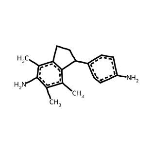 Cc1c(C)c2c(c(C)c1N)CCC2c1ccc(N)cc1